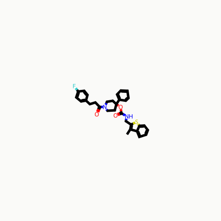 Cc1c(CNC(=O)OC2(c3ccccc3)CCN(C(=O)CCc3ccc(F)cc3)CC2)sc2ccccc12